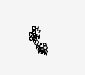 CCOC(=O)NC(=O)N1CCC(C(F)(F)[C@H](O)c2c3c(cc4cn[nH]c24)CC3)CC1